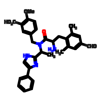 COc1ccc(CN(C(=O)C(N)Cc2c(C)cc(C=O)cc2C)C(C)c2nc(-c3ccccc3)c[nH]2)cc1C(=O)O